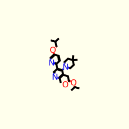 Cc1ncc(-c2ccc(OCC(C)C)cn2)c(N2CCC(C)(C)CC2)c1CC(=O)OC(C)C